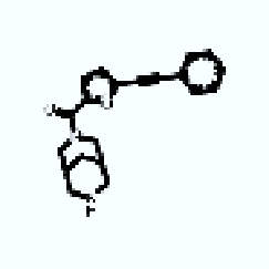 O=C(c1ccc(C#Cc2ccccc2)o1)N1CC2CNCC(C2)C1